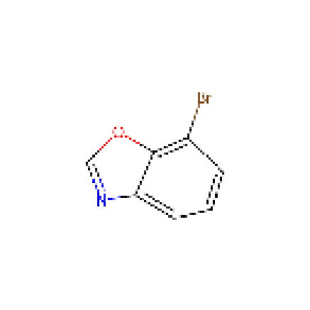 Brc1cccc2ncoc12